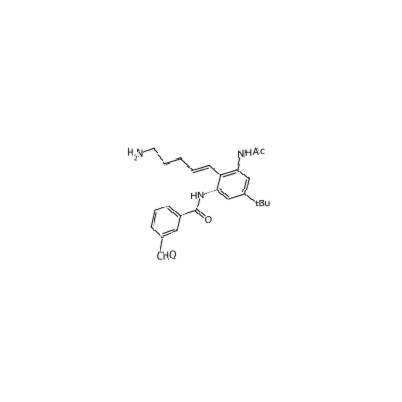 CC(=O)Nc1cc(C(C)(C)C)cc(NC(=O)c2cccc(C=O)c2)c1/C=C/CCCN